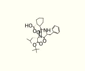 CC(C)C[C@H](NC(=O)[C@H](Cc1ccccc1)NC(=O)[C@@H]1CCCC[C@H]1C(=O)O)C(=O)OC(C)(C)C